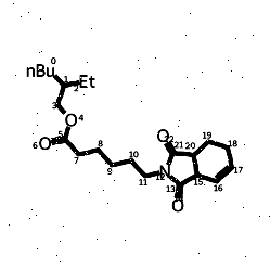 CCCCC(CC)COC(=O)CCCCCN1C(=O)C2C=CCCC2C1=O